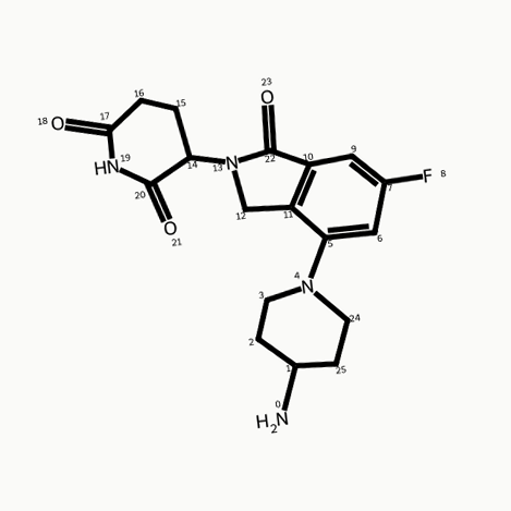 NC1CCN(c2cc(F)cc3c2CN(C2CCC(=O)NC2=O)C3=O)CC1